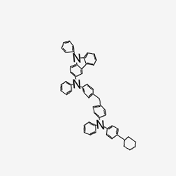 c1ccc(N(c2ccc(Cc3ccc(N(c4ccccc4)c4ccc5c(c4)c4ccccc4n5-c4ccccc4)cc3)cc2)c2ccc(C3CCCCC3)cc2)cc1